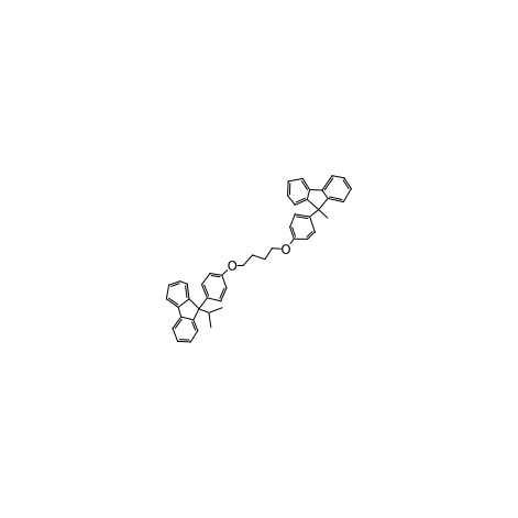 CC(C)C1(c2ccc(OCCCCOc3ccc(C4(C)c5ccccc5-c5ccccc54)cc3)cc2)c2ccccc2-c2ccccc21